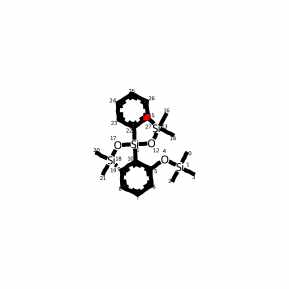 C[Si](C)(C)Oc1ccccc1[Si](O[Si](C)(C)C)(O[Si](C)(C)C)c1ccccc1